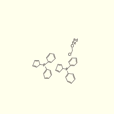 C1=CC(P(c2ccccc2)c2ccccc2)C=C1.C1=CC(P(c2ccccc2)c2ccccc2)C=C1.ClCCl.[Fe].[Pd]